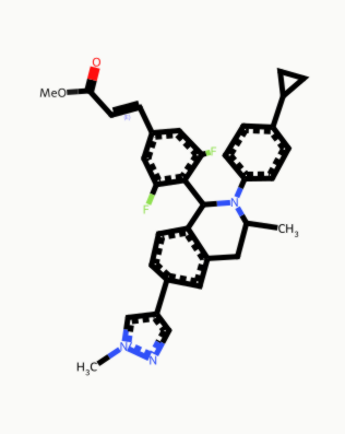 COC(=O)/C=C/c1cc(F)c(C2c3ccc(-c4cnn(C)c4)cc3CC(C)N2c2ccc(C3CC3)cc2)c(F)c1